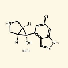 Cl.O[C@@]1(c2cc(Cl)cc3[nH]ncc23)[C@@H]2CNC[C@@H]21